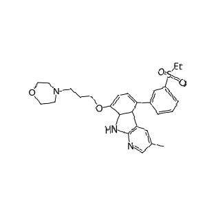 CCS(=O)(=O)c1cccc(C2=CC=C(OCCCN3CCOCC3)C3Nc4ncc(C)cc4C23)c1